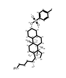 Cc1ccc(S(=O)(=O)O[C@H]2CC[C@@]3(C)C(CC[C@H]4[C@@H]5CC[C@H]([C@H](C)CCCC(C)C)[C@@]5(C)CC[C@@H]43)C2)cc1